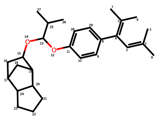 CC(C)=CC(=C(C)C)c1ccc(OC(OC2CC3CC2C2CCCC32)C(C)C)cc1